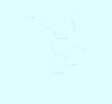 C/N=N/c1c(SOOO)cc2cc(C)cc(O)c2c1O